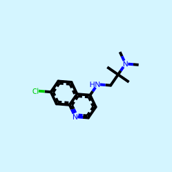 CN(C)C(C)(C)CNc1ccnc2cc(Cl)ccc12